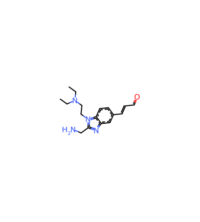 CCN(CC)CCn1c(CN)nc2cc(/C=C/C=O)ccc21